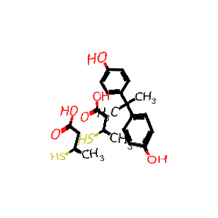 CC(C)(c1ccc(O)cc1)c1ccc(O)cc1.CC(S)CC(=O)O.CC(S)CC(=O)O